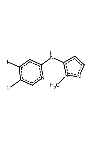 Cn1nccc1Nc1cc(I)c(Cl)cn1